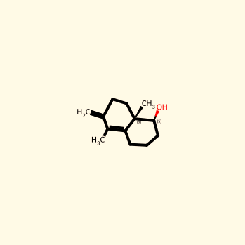 C=C1CC[C@@]2(C)C(=C1C)CCC[C@@H]2O